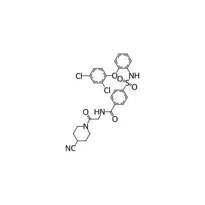 N#CC1CCN(C(=O)CNC(=O)c2ccc(S(=O)(=O)Nc3ccccc3Oc3ccc(Cl)cc3Cl)cc2)CC1